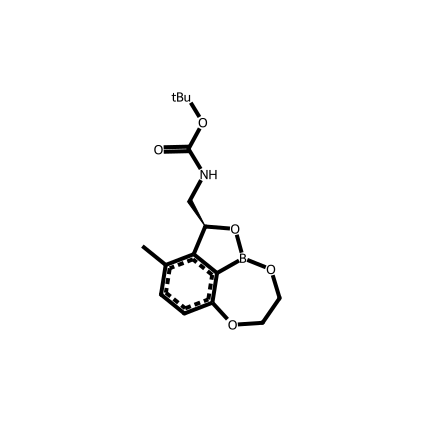 Cc1ccc2c3c1[C@@H](CNC(=O)OC(C)(C)C)OB3OCCO2